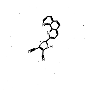 N#CC1=C(C#N)NC(c2ccc3ccc4cccnc4c3n2)N1